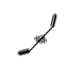 O=C(OC=CCCCCCCCCCC(F)(F)C(F)(F)C(F)(F)C(F)(F)C(F)(F)C(F)(F)C(F)(F)C(F)(F)F)[C@@H](O)[C@H](O)[C@H](O)[C@@H](O)C(=O)CCCCCCCCCCCC(F)(F)C(F)(F)C(F)(F)C(F)(F)C(F)(F)C(F)(F)C(F)(F)C(F)(F)F